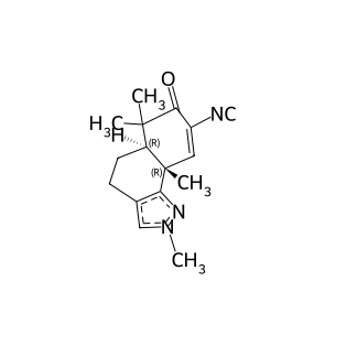 [C-]#[N+]C1=C[C@]2(C)c3nn(C)cc3CC[C@H]2C(C)(C)C1=O